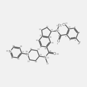 CCN(C(=O)c1cc(F)ccc1Cl)[C@@H]1CCc2ccc(C(=O)N(C)C3CCN(c4ccncc4)CC3)cc21